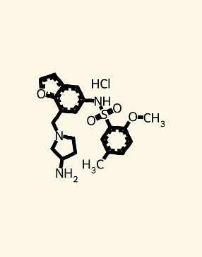 COc1ccc(C)cc1S(=O)(=O)Nc1cc(CN2CCC(N)C2)c2occc2c1.Cl